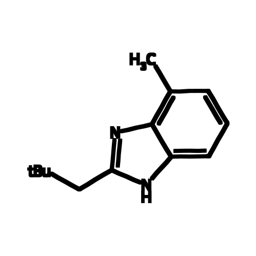 Cc1cccc2[nH]c(CC(C)(C)C)nc12